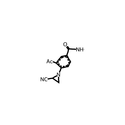 CC(=O)c1cc(C([NH])=O)ccc1N1CC1C#N